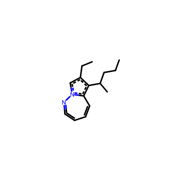 CCCC(C)c1c(CC)cn2c1C=CC=C=N2